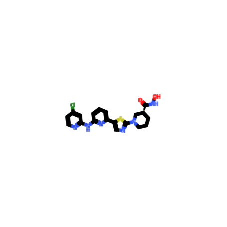 O=C(NO)[C@@H]1CCCN(c2ncc(-c3cccc(Nc4cc(Cl)ccn4)n3)s2)C1